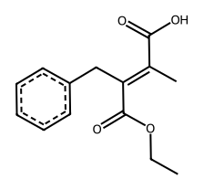 CCOC(=O)C(Cc1ccccc1)=C(C)C(=O)O